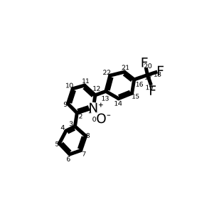 [O-][n+]1c(-c2ccccc2)cccc1-c1ccc(C(F)(F)F)cc1